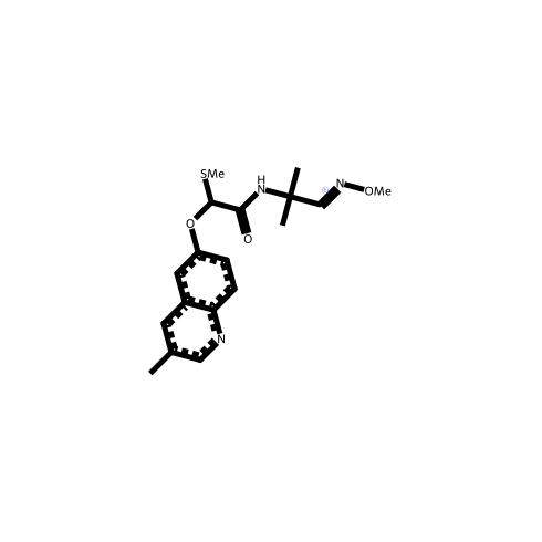 CO/N=C/C(C)(C)NC(=O)C(Oc1ccc2ncc(C)cc2c1)SC